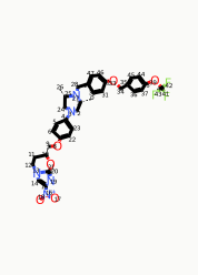 C[C@@H]1CN(c2ccc(OC[C@H]3CCn4cc([N+](=O)[O-])nc4O3)cc2)C[C@H](C)N1Cc1ccc(OCc2ccc(OC(F)(F)F)cc2)cc1